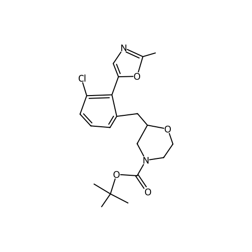 Cc1ncc(-c2c(Cl)cccc2CC2CN(C(=O)OC(C)(C)C)CCO2)o1